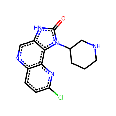 O=c1[nH]c2cnc3ccc(Cl)nc3c2n1C1CCCNC1